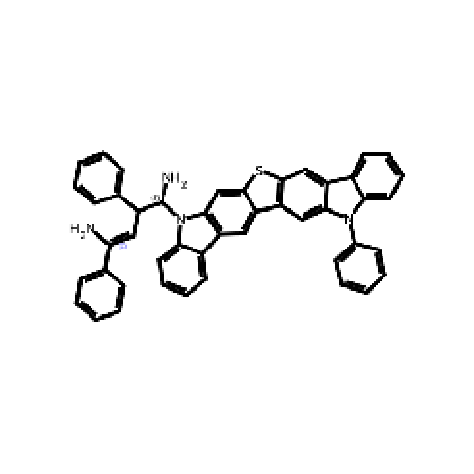 N/C(=C\C(c1ccccc1)[C@@H](N)n1c2ccccc2c2cc3c(cc21)sc1cc2c4ccccc4n(-c4ccccc4)c2cc13)c1ccccc1